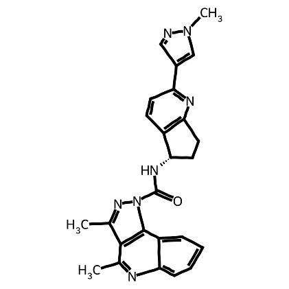 Cc1nc2ccccc2c2c1c(C)nn2C(=O)N[C@H]1CCc2nc(-c3cnn(C)c3)ccc21